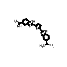 N=C(N)c1ccc2[nH]c(-c3ccc(-c4nc5cc(C(N)N)ccc5[nH]4)s3)nc2c1